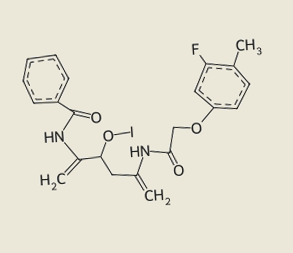 C=C(CC(OI)C(=C)NC(=O)c1ccccc1)NC(=O)COc1ccc(C)c(F)c1